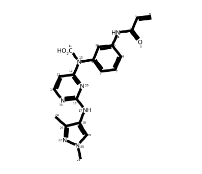 C=CC(=O)Nc1cccc(N(C(=O)O)c2ccnc(Nc3cn(C)nc3C)n2)c1